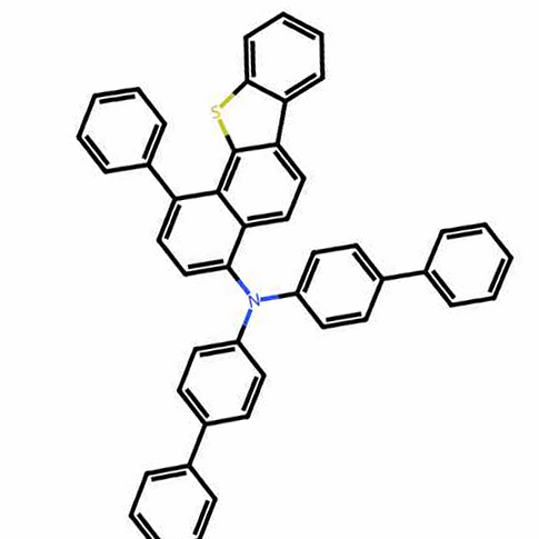 c1ccc(-c2ccc(N(c3ccc(-c4ccccc4)cc3)c3ccc(-c4ccccc4)c4c3ccc3c5ccccc5sc34)cc2)cc1